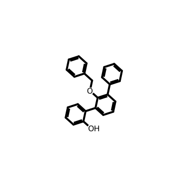 Oc1ccccc1-c1cccc(-c2ccccc2)c1OCc1ccccc1